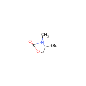 CN1C(=O)OCC1C(C)(C)C